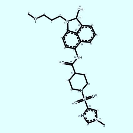 COCCCN1c2ccc(NC(=O)C3CCN(S(=O)(=O)c4cn(C)cn4)CC3)c3cccc(c23)C1O